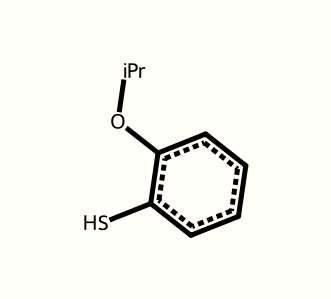 CC(C)Oc1ccccc1S